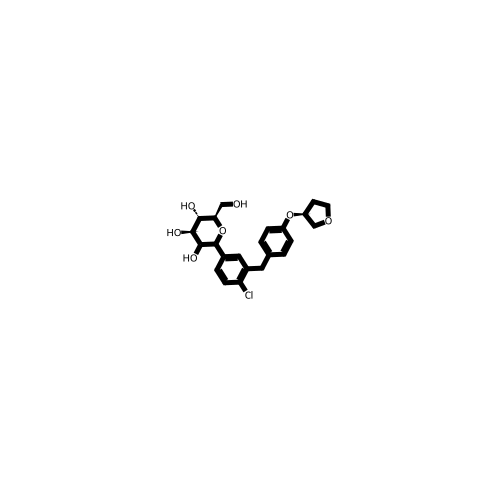 OC[C@H]1OC(c2ccc(Cl)c(Cc3ccc(O[C@H]4CCOC4)cc3)c2)C(O)[C@@H](O)[C@@H]1O